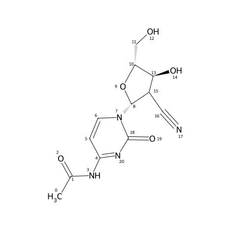 CC(=O)Nc1ccn([C@@H]2O[C@H](CO)[C@@H](O)C2C#N)c(=O)n1